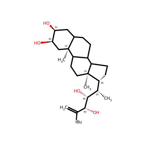 C=C([C@@H](O)[C@H](O)[C@@H](C)[C@H]1CCC2C3CCC4C[C@H](O)[C@H](O)C[C@]4(C)C3CC[C@@]21C)C(C)(C)C